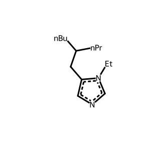 CCCCC(CCC)Cc1cncn1CC